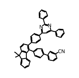 CC1(C)c2ccccc2-c2c1ccc(-c1ccc(-c3cc(-c4ccccc4)nc(-c4ccccc4)n3)cc1)c2-c1ccc(-c2cccc(C#N)c2)cc1